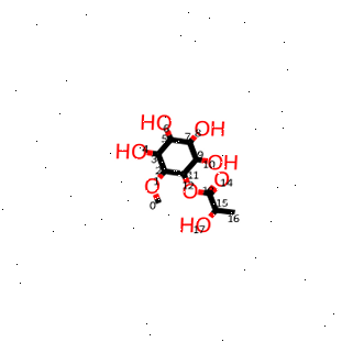 COC1C(O)C(O)C(O)C(O)C1OC(=O)C(C)O